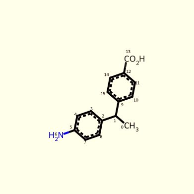 CC(c1ccc(N)cc1)c1ccc(C(=O)O)cc1